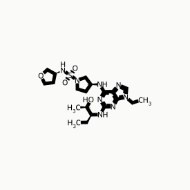 CC[C@H](Nc1nc(N[C@H]2CCN(S(=O)(=O)N[C@@H]3CCOC3)C2)c2ncn(CC)c2n1)[C@@H](C)O